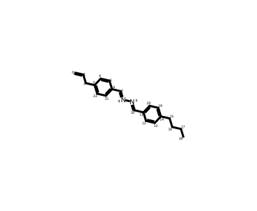 C=CCc1ccc(C=NN=Cc2ccc(CCCC)cc2)cc1